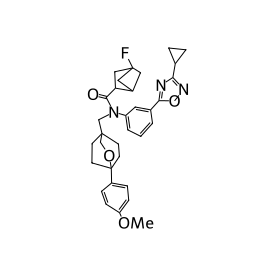 COc1ccc(C23CCC(CN(C(=O)C4CC5(F)CC4C5)c4cccc(-c5nc(C6CC6)no5)c4)(CC2)CO3)cc1